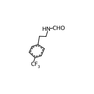 O=CNCCc1ccc(C(F)(F)F)cc1